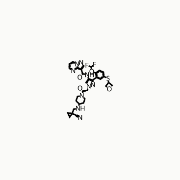 N#CC1(CNC2CCN(C(=O)Cn3cc(NC(=O)c4cnn5cccnc45)c(-c4cc(SC5COC5)ccc4OC(F)F)n3)CC2)CC1